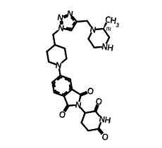 C[C@H]1CNCCN1Cc1cn(CC2CCN(c3ccc4c(c3)C(=O)N(C3CCC(=O)NC3=O)C4=O)CC2)nn1